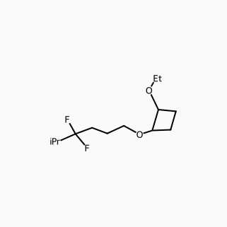 CCOC1CCC1OCCCC(F)(F)C(C)C